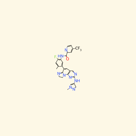 Cc1cc(F)c(NC(=O)c2cc(C(F)(F)F)ccn2)cc1C1=Cc2cnc(Nc3cnn(C)c3)nc2N2CCN=C12